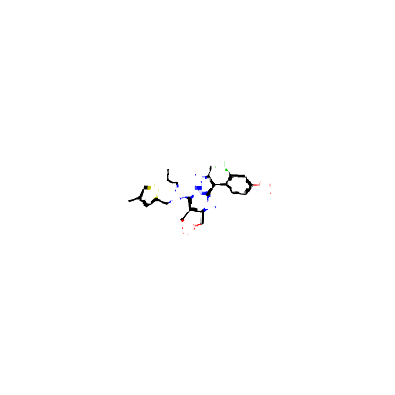 CCCN(Cc1cc(C)cs1)c1c2c(nc3c(-c4ccc(OC)cc4Cl)c(C)nn13)COC2